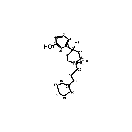 Cl.Oc1cccc(C2(F)CCN(CCCC3CCCCC3)CC2)c1